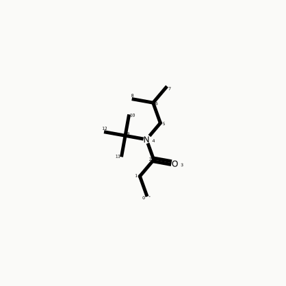 [CH2]CC(=O)N(CC(C)C)C(C)(C)C